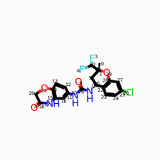 C[C@]1(C(F)F)C[C@@H](NC(=O)Nc2ccc3c(c2)NC(=O)CO3)c2ccc(Cl)cc2O1